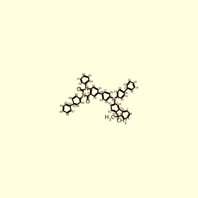 CC1(C)c2ccccc2-c2cc(N(c3ccc(-c4ccccc4)cc3)c3ccc(-c4ccc5c(c4)c(=O)n(-c4ccc(-c6ccccc6)cc4)c(=O)n5-c4ccccc4)cc3)ccc21